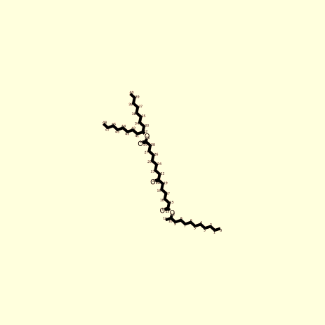 CCCCCCCCCCC(C)OC(=O)CCCCCC(=O)CCCCCCCC(=O)OC(CCCCCCCC)CCCCCCCC